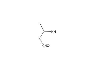 CC([NH])C[C]=O